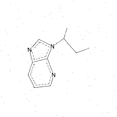 CCC(C)n1cnc2cccnc21